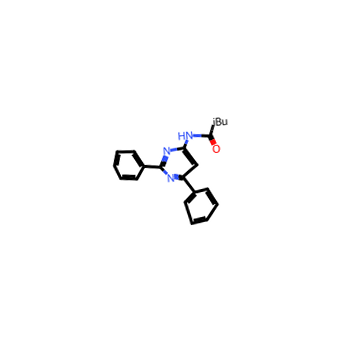 CCC(C)C(=O)Nc1cc(-c2ccccc2)nc(-c2ccccc2)n1